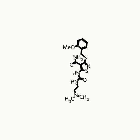 COc1ccccc1CSc1nsc(NC(=O)NCCN(C)C)c1C(N)=O